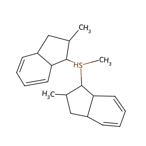 CC1CC2C=CC=CC2C1[SH](C)C1C(C)CC2C=CC=CC21